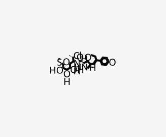 COc1ccc(C2=C[C@H]3CN[C@H](C(=O)N[C@@H](C4OC(SC)C(O)C(O)C4O)[C@H](C)Cl)[C@@H]3OCC2)cc1